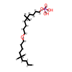 CCCCC(C)(C)CCCCOCCCCC(C)(C)CCCCOP(=O)(O)O